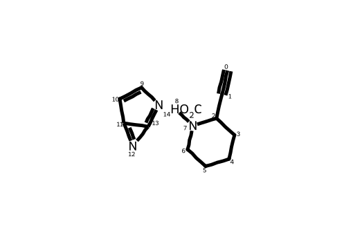 C#CC1CCCCN1C(=O)O.c1cc2nc-2n1